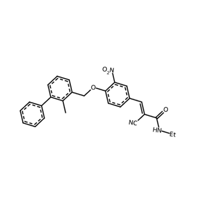 CCNC(=O)/C(C#N)=C/c1ccc(OCc2cccc(-c3ccccc3)c2C)c([N+](=O)[O-])c1